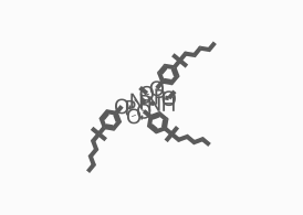 CCCCCC(C)(C)c1ccc(OP(N=P(NP(OC)Oc2ccc(C(C)(C)CCCCC)cc2)(OC)Oc2ccc(C(C)(C)CCCCC)cc2)OC)cc1